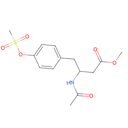 COC(=O)CC(Cc1ccc(OS(C)(=O)=O)cc1)NC(C)=O